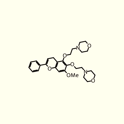 COc1cc2c(c(OCCN3CCOCC3)c1OCCN1CCOCC1)CC=C(c1ccccc1)O2